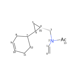 C=CN(C[C@H]1CC1C1CC=CCC1)C(C)=O